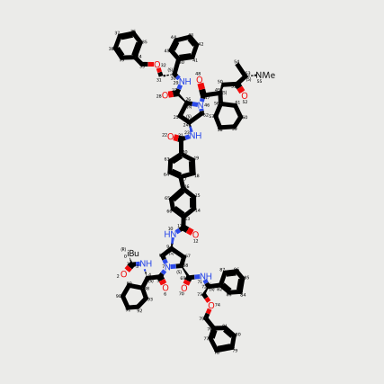 CC[C@@H](C)C(=O)N[C@H](C(=O)N1C[C@@H](NC(=O)c2ccc(-c3ccc(C(=O)N[C@H]4C[C@@H](C(=O)N[C@H](COCc5ccccc5)c5ccccc5)N(C(=O)[C@@H](CC(=O)[C@H](C)NC)C5CCCCC5)C4)cc3)cc2)C[C@H]1C(=O)N[C@H](COCc1ccccc1)c1ccccc1)C1CCCCC1